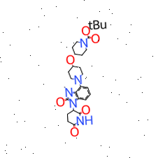 Cn1c(=O)n(C2CCC(=O)NC2=O)c2cccc(N3CCC(OC4CCN(C(=O)OC(C)(C)C)CC4)CC3)c21